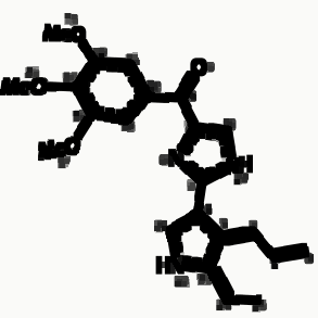 C=C/C=c1/c(-c2nc(C(=O)c3cc(OC)c(OC)c(OC)c3)c[nH]2)c[nH]/c1=C/C